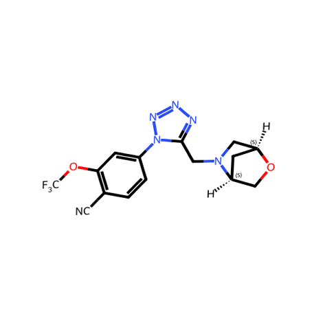 N#Cc1ccc(-n2nnnc2CN2C[C@@H]3C[C@H]2CO3)cc1OC(F)(F)F